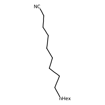 CCCCCCCCCCCCCCC#N